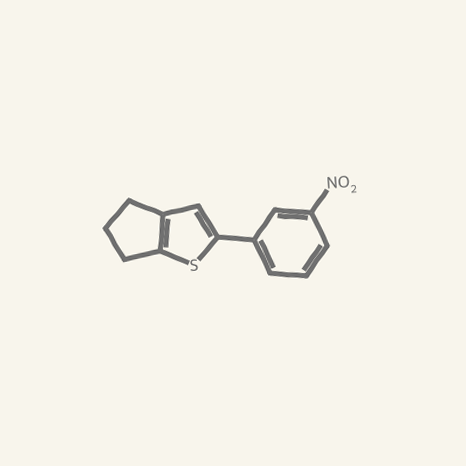 O=[N+]([O-])c1cccc(-c2cc3c(s2)CCC3)c1